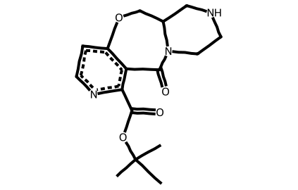 CC(C)(C)OC(=O)c1nccc2c1C(=O)N1CCNCC1CO2